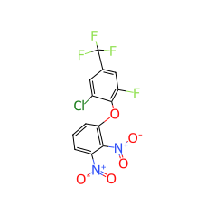 O=[N+]([O-])c1cccc(Oc2c(F)cc(C(F)(F)F)cc2Cl)c1[N+](=O)[O-]